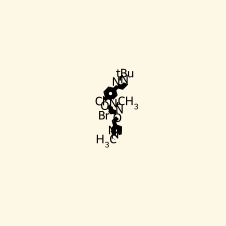 Cc1nc(OCc2ccn(C)n2)c(Br)c(=O)n1-c1cc(-c2ccnc(C(C)(C)C)n2)ccc1Cl